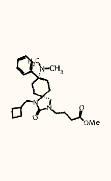 COC(=O)CCCN1C[C@]2(CC[C@@](c3ccccc3)(N(C)C)CC2)N(CC2CCC2)C1=O